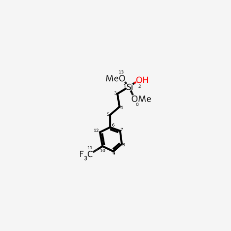 CO[Si](O)(CCCc1cccc(C(F)(F)F)c1)OC